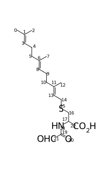 CC(C)=CCC/C(C)=C/CC/C(C)=C/CSCC(NC(=O)C=O)C(=O)O